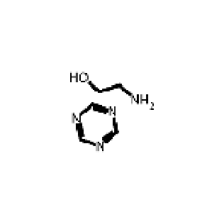 NCCO.c1ncncn1